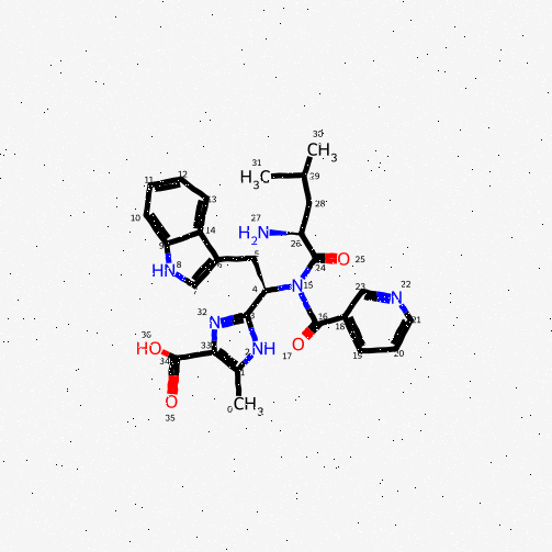 Cc1[nH]c([C@@H](Cc2c[nH]c3ccccc23)N(C(=O)c2cccnc2)C(=O)[C@@H](N)CC(C)C)nc1C(=O)O